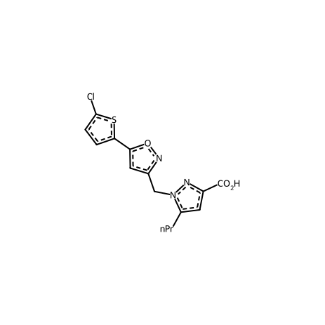 CCCc1cc(C(=O)O)nn1Cc1cc(-c2ccc(Cl)s2)on1